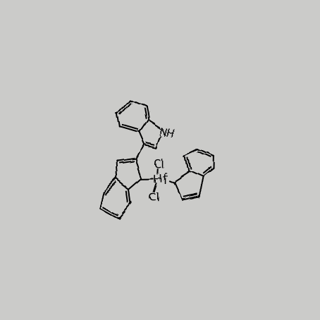 [Cl][Hf]([Cl])([CH]1C=Cc2ccccc21)[CH]1C(c2c[nH]c3ccccc23)=Cc2ccccc21